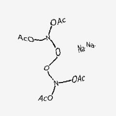 CC(=O)ON(OON(OC(C)=O)OC(C)=O)OC(C)=O.[Na].[Na]